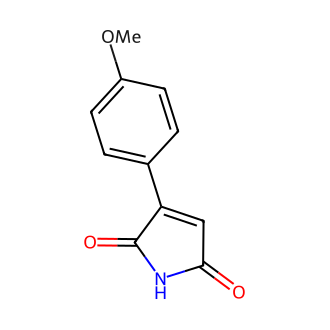 COc1ccc(C2=CC(=O)NC2=O)cc1